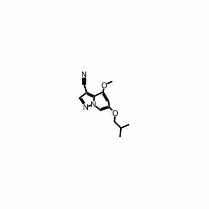 COc1cc(OCC(C)C)cn2ncc(C#N)c12